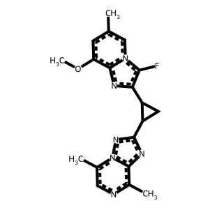 COc1cc(C)cn2c(F)c(C3CC3c3nc4c(C)ncc(C)n4n3)nc12